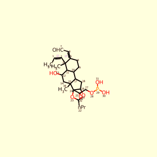 C/C=C\C1(C)/C(=C\C=O)CCC2C1C(O)CC1(C)C2CC2OC(CCC)OC21C(=O)COP(O)O